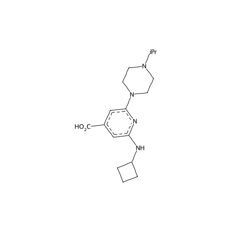 CC(C)N1CCN(c2cc(C(=O)O)cc(NC3CCC3)n2)CC1